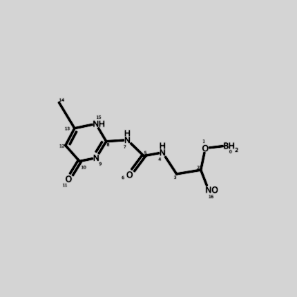 BOC(CNC(=O)Nc1nc(=O)cc(C)[nH]1)N=O